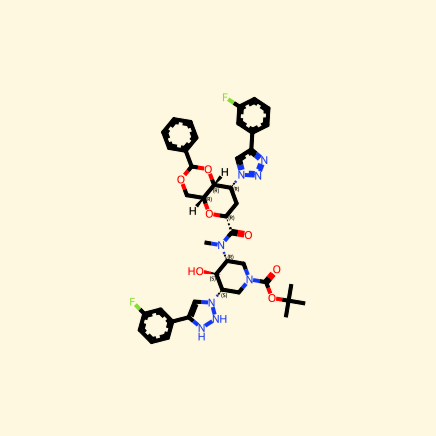 CN(C(=O)[C@H]1C[C@@H](n2cc(-c3cccc(F)c3)nn2)[C@H]2OC(c3ccccc3)OC[C@H]2O1)[C@@H]1CN(C(=O)OC(C)(C)C)C[C@H](N2C=C(c3cccc(F)c3)NN2)[C@H]1O